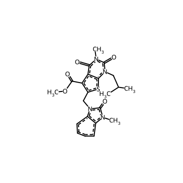 COC(=O)c1c(Cn2c(=O)n(C)c3ccccc32)sc2c1c(=O)n(C)c(=O)n2CC(C)C